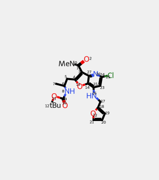 CNC(=O)c1c(CC(C)NC(=O)OC(C)(C)C)oc2c(NCc3ccco3)cc(Cl)nc12